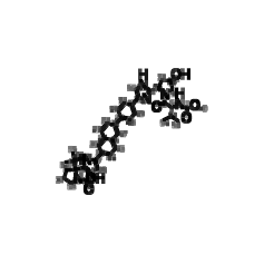 COC(=O)NC(C(=O)N1C[C@@H](O)C[C@H]1c1nc(-c2ccc(-c3ccc4cc(-c5cnc(C6(C(C)(C)C)CCCN6C(=O)O)[nH]5)ccc4c3)cc2)c[nH]1)C(C)C